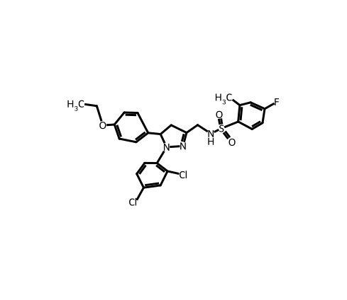 CCOc1ccc(C2CC(CNS(=O)(=O)c3ccc(F)cc3C)=NN2c2ccc(Cl)cc2Cl)cc1